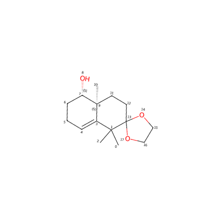 CC1(C)C2=CCC[C@H](O)[C@@]2(C)CCC12OCCO2